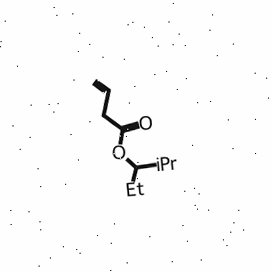 C=CCC(=O)OC(CC)C(C)C